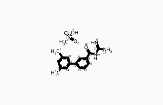 CS(=O)(=O)O.Cc1cc(C)cc(-c2cccc(C(=O)NC(=N)N)c2)c1